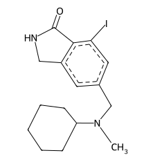 CN(Cc1cc(I)c2c(c1)CNC2=O)C1CCCCC1